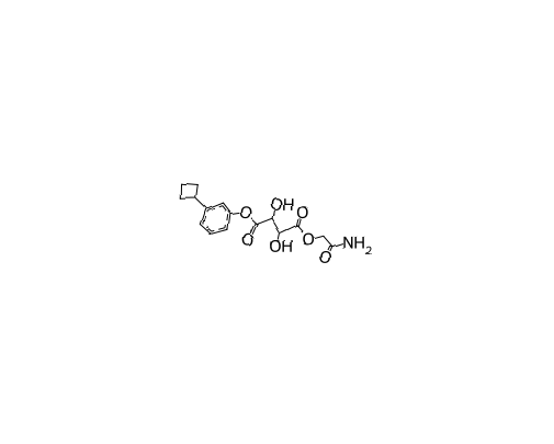 NC(=O)COC(=O)C(O)C(O)C(=O)Oc1cccc(C2CCC2)c1